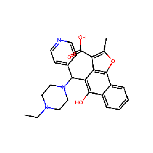 CCN1CCN(C(c2ccncc2)c2c(O)c3ccccc3c3oc(C)c(C(=O)O)c23)CC1